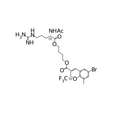 CC(=O)N[C@@H](CCCNC(=N)N)C(=O)OCCCCOC(=O)C1=Cc2cc(Br)cc(C)c2O[C@@H]1C(F)(F)F